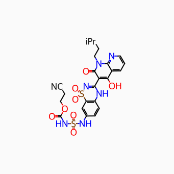 CC(C)CCn1c(=O)c(C2=NS(=O)(=O)c3cc(NS(=O)(=O)NC(=O)OCCC#N)ccc3N2)c(O)c2cccnc21